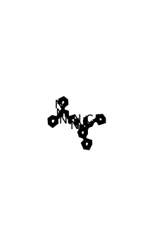 c1ccc(-c2ccc3c(c2)c2cc(-c4ccccc4)ccc2n3-c2ncc(-c3cc(-c4ccccn4)nc(-c4ccccc4)n3)cn2)cc1